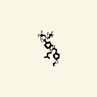 CCOc1ccc(Cc2nc3cc(C(=O)N(CC(F)(F)F)CC(F)(F)F)ccc3n2CCC(C)C)cc1